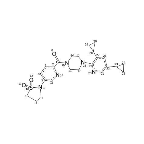 O=C(c1ccc(N2CCCS2(=O)=O)cn1)N1CCN(c2ncc(C3CC3)cc2C2CC2)CC1